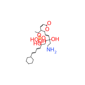 CCC1C=CC(=O)OC1/C=C/C(O)(CCN)C(CC(O)/C=C/C=C/C1CCCCC1)OP(=O)(O)O